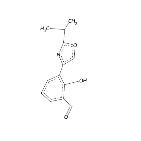 CC(C)c1nc(-c2cccc(C=O)c2O)co1